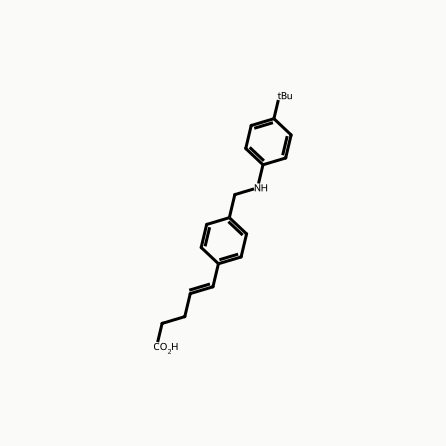 CC(C)(C)c1ccc(NCc2ccc(/C=C/CCC(=O)O)cc2)cc1